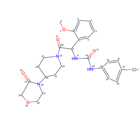 COc1ccccc1C(NC(=O)Nc1ccc(Cl)cc1)C(=O)N1CCC(N2CCOCC2=O)CC1